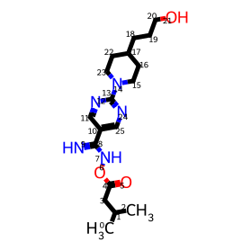 CC(C)CC(=O)ONC(=N)c1cnc(N2CCC(CCCO)CC2)nc1